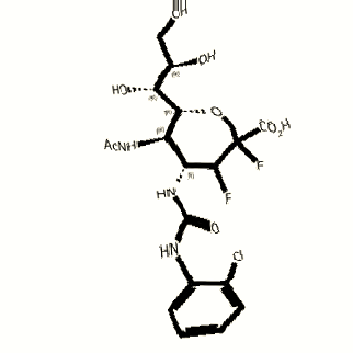 CC(=O)N[C@H]1[C@H]([C@H](O)[C@H](O)CO)OC(F)(C(=O)O)C(F)[C@@H]1NC(=O)Nc1ccccc1Cl